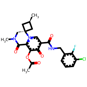 CC(=O)Oc1c2n(cc(C(=O)NCc3cccc(Cl)c3F)c1=O)[C@]1(CN(C)C2=O)C[C@H](C)C1